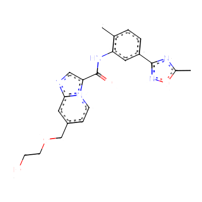 Cc1nc(-c2ccc(C)c(NC(=O)c3cnc4cc(COCCO)ccn34)c2)no1